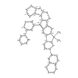 CC1(C)c2cc(-c3ccc4ccccc4c3)ccc2-c2cc3c(cc21)c1ccc2oc4ccccc4c2c1n3-c1cccc(-c2ccccc2)c1